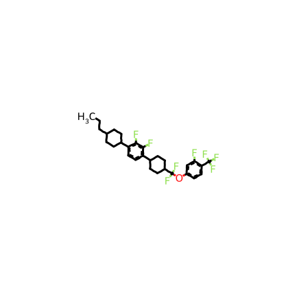 CCCC1CCC(c2ccc(C3CCC(C(F)(F)Oc4ccc(C(F)(F)F)c(F)c4)CC3)c(F)c2F)CC1